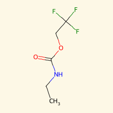 CCNC(=O)OCC(F)(F)F